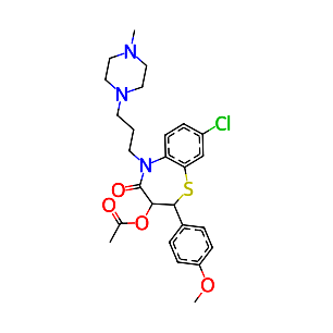 COc1ccc(C2Sc3cc(Cl)ccc3N(CCCN3CCN(C)CC3)C(=O)C2OC(C)=O)cc1